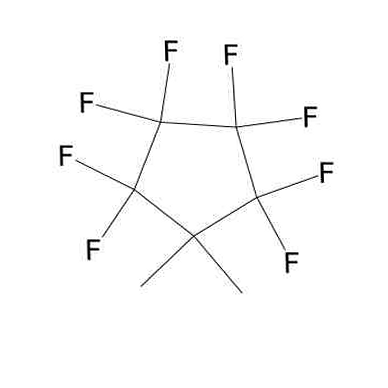 CC1(C)C(F)(F)C(F)(F)C(F)(F)C1(F)F